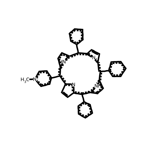 C[n+]1ccc(-c2c3nc(c(-c4ccccc4)c4ccc([nH]4)c(-c4ccccc4)c4nc(c(-c5ccccc5)c5ccc2[nH]5)C=C4)C=C3)cc1